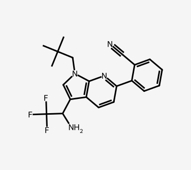 CC(C)(C)Cn1cc(C(N)C(F)(F)F)c2ccc(-c3ccccc3C#N)nc21